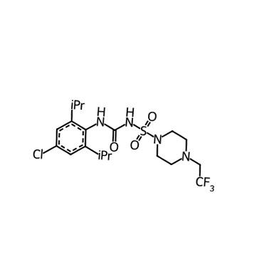 CC(C)c1cc(Cl)cc(C(C)C)c1NC(=O)NS(=O)(=O)N1CCN(CC(F)(F)F)CC1